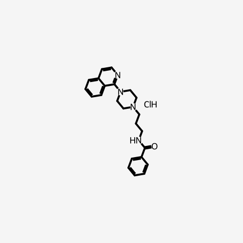 Cl.O=C(NCCCN1CCN(c2nccc3ccccc23)CC1)c1ccccc1